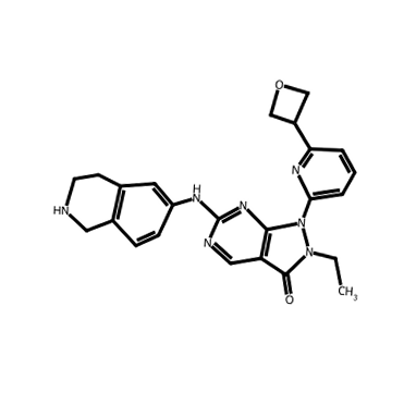 CCn1c(=O)c2cnc(Nc3ccc4c(c3)CCNC4)nc2n1-c1cccc(C2COC2)n1